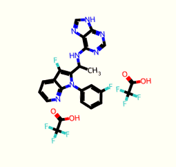 CC(Nc1ncnc2[nH]cnc12)c1c(F)c2cccnc2n1-c1cccc(F)c1.O=C(O)C(F)(F)F.O=C(O)C(F)(F)F